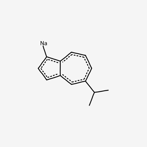 CC(C)c1cccc2[c]([Na])ccc-2c1